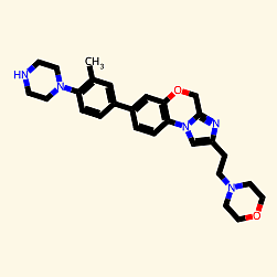 Cc1cc(-c2ccc3c(c2)OCc2nc(CCN4CCOCC4)cn2-3)ccc1N1CCNCC1